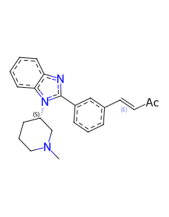 CC(=O)/C=C/c1cccc(-c2nc3ccccc3n2[C@H]2CCCN(C)C2)c1